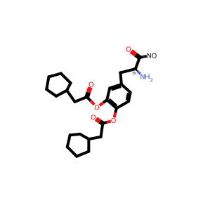 N[C@@H](Cc1ccc(OC(=O)CC2CCCCC2)c(OC(=O)CC2CCCCC2)c1)C(=O)N=O